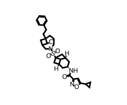 O=C(N[C@@H]1C[C@@H]2CC3(S(=O)(=O)N4CC5CC6C(C4)CC6(CCc4ccccc4)C5)C[C@H](C1)C23)c1cc(C2CC2)on1